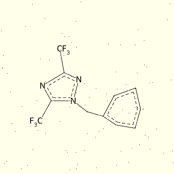 FC(F)(F)c1nc(C(F)(F)F)n(Cc2cc[c]cc2)n1